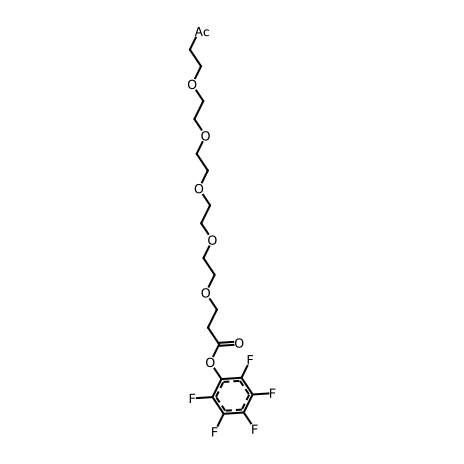 CC(=O)CCOCCOCCOCCOCCOCCC(=O)Oc1c(F)c(F)c(F)c(F)c1F